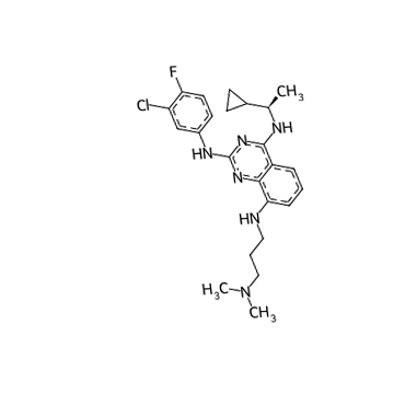 C[C@@H](Nc1nc(Nc2ccc(F)c(Cl)c2)nc2c(NCCCN(C)C)cccc12)C1CC1